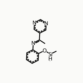 CC(=Nc1ccccc1O[SiH](C)C)c1cncnc1